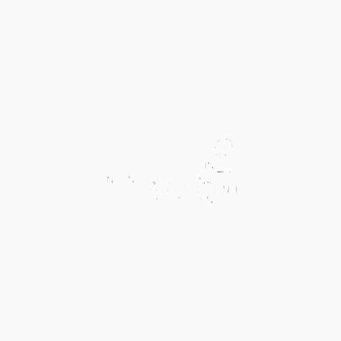 CN1CCN(CCS(=O)(=O)c2ccc(-c3cnc(N)c(C(=O)Nc4cc#ccc4)n3)cc2)CC1